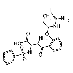 CCC(NC(=N)N)Oc1ccccc1C(=O)C(N)C(NS(=O)(=O)c1ccccc1)C(=O)O